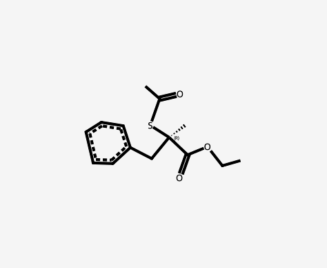 CCOC(=O)[C@@](C)(Cc1ccccc1)SC(C)=O